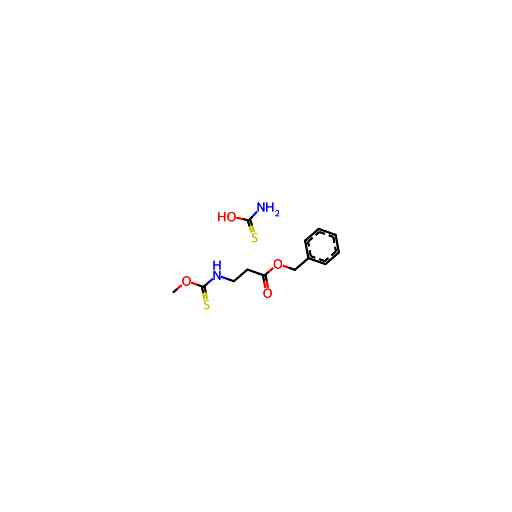 COC(=S)NCCC(=O)OCc1ccccc1.NC(O)=S